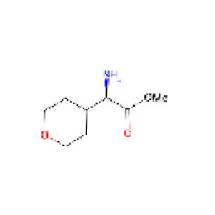 COC(=O)[C@H](N)C1CCOCC1